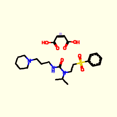 CC(C)N(CCS(=O)(=O)c1ccccc1)C(=O)NCCCN1CCCCC1.O=C(O)/C=C\C(=O)O